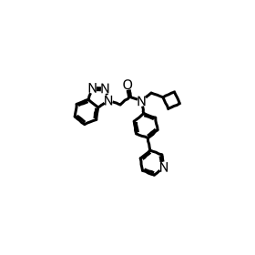 O=C(Cn1nnc2ccccc21)N(CC1CCC1)c1ccc(-c2cccnc2)cc1